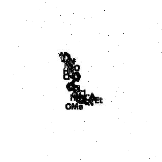 CCC1CC1(C(=O)O)N(C)Cc1cc(Cl)c(OC2CCc3c(-c4cccc(NC(=O)c5nc6c(n5C)CCN(C)C6)c4Cl)cccc32)cc1OC